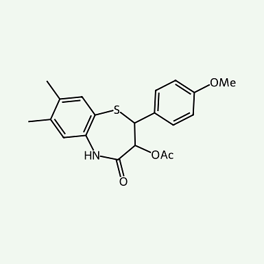 COc1ccc(C2Sc3cc(C)c(C)cc3NC(=O)C2OC(C)=O)cc1